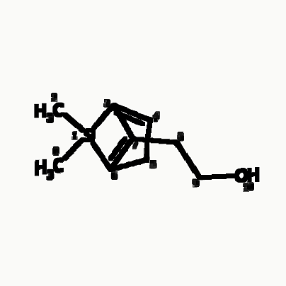 C[Si]1(C)C2=[C]CC1=C2CCO